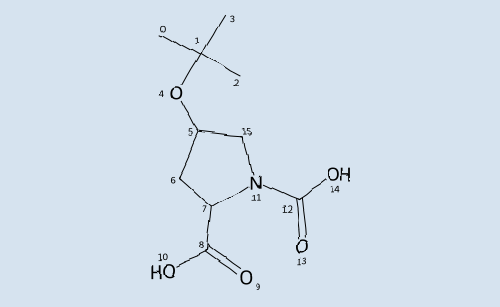 CC(C)(C)OC1CC(C(=O)O)N(C(=O)O)C1